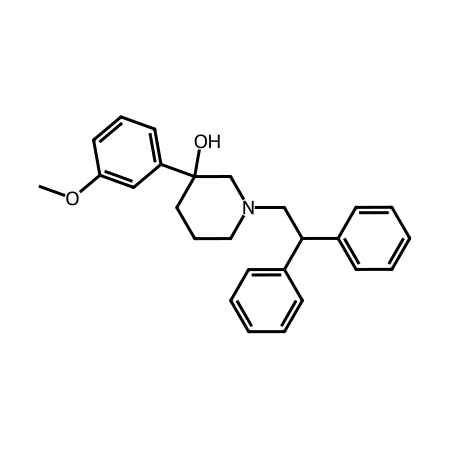 COc1cccc(C2(O)CCCN(CC(c3ccccc3)c3ccccc3)C2)c1